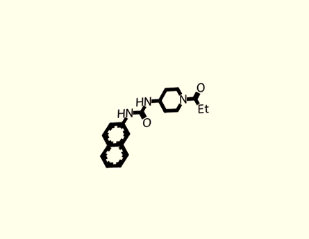 CCC(=O)N1CCC(NC(=O)Nc2ccc3ccccc3c2)CC1